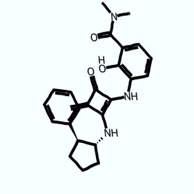 C=C1C(=O)C(Nc2cccc(C(=O)N(C)C)c2O)=C1N[C@@H]1CCC[C@H]1c1ccccc1